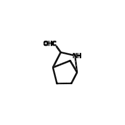 O=CC1NC2CCC1C2